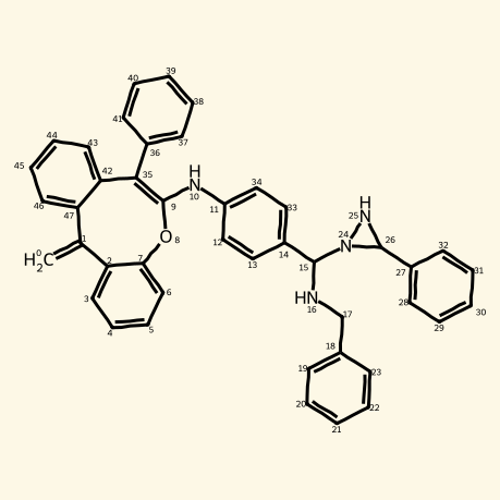 C=C1c2ccccc2O/C(Nc2ccc(C(NCc3ccccc3)N3NC3c3ccccc3)cc2)=C(/c2ccccc2)c2ccccc21